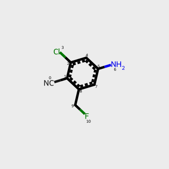 N#Cc1c(Cl)cc(N)cc1CF